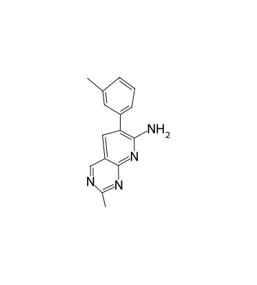 Cc1cccc(-c2cc3cnc(C)nc3nc2N)c1